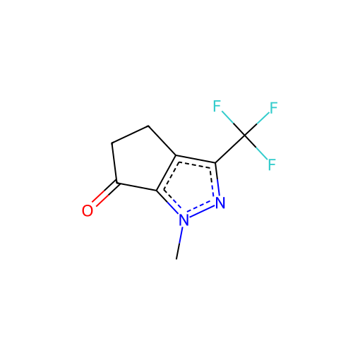 Cn1nc(C(F)(F)F)c2c1C(=O)CC2